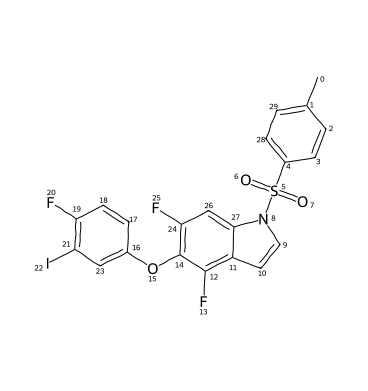 Cc1ccc(S(=O)(=O)n2ccc3c(F)c(Oc4ccc(F)c(I)c4)c(F)cc32)cc1